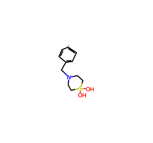 OS1(O)CCN(Cc2cc[c]cc2)CC1